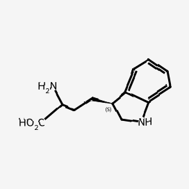 NC(CC[C@@H]1CNc2ccccc21)C(=O)O